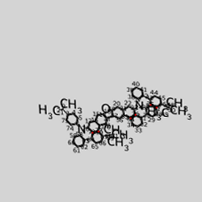 CC(C)c1ccc(N(c2ccc3cc4c(cc3c2)oc2cc3cc(N(c5ccccc5-c5ccccc5)c5ccccc5-c5ccc(C(C)(C)C)cc5)ccc3cc24)c2ccccc2-c2ccc(C(C)(C)C)cc2)cc1